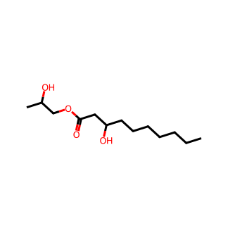 CCCCCCCC(O)CC(=O)OCC(C)O